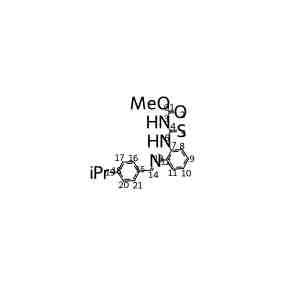 COC(=O)NC(=S)Nc1ccccc1N=Cc1ccc(C(C)C)cc1